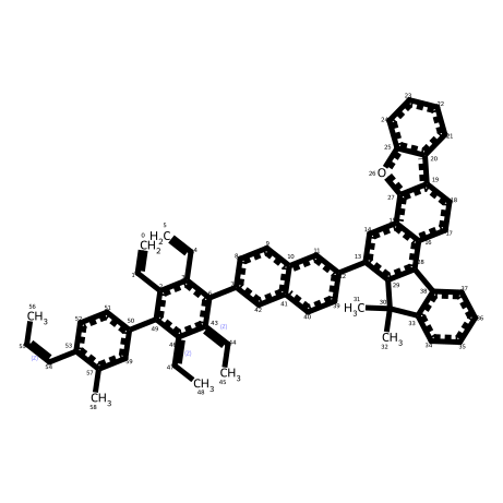 C=Cc1c(C=C)c(-c2ccc3cc(-c4cc5c(ccc6c7ccccc7oc56)c5c4C(C)(C)c4ccccc4-5)ccc3c2)c(=C/C)/c(=C\C)c1-c1ccc(/C=C\C)c(C)c1